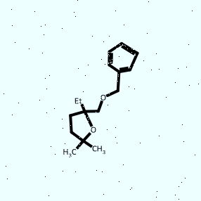 CCC1(COCc2ccccc2)CCC(C)(C)O1